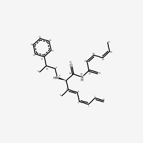 C=C/C=C\C=C(/C)[C@@H](NCC(C)c1ccccc1)C(=O)NC(=C)/C=C\C=C/C